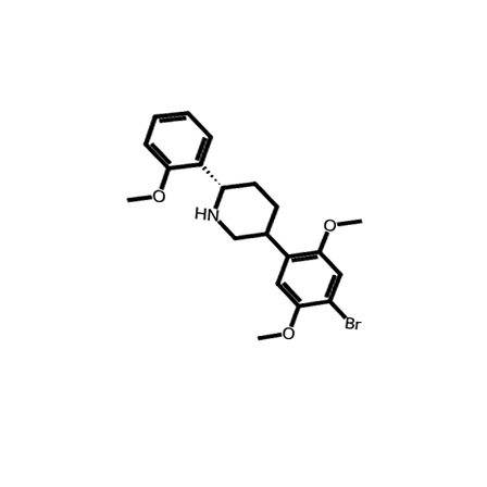 COc1cc(C2CC[C@@H](c3ccccc3OC)NC2)c(OC)cc1Br